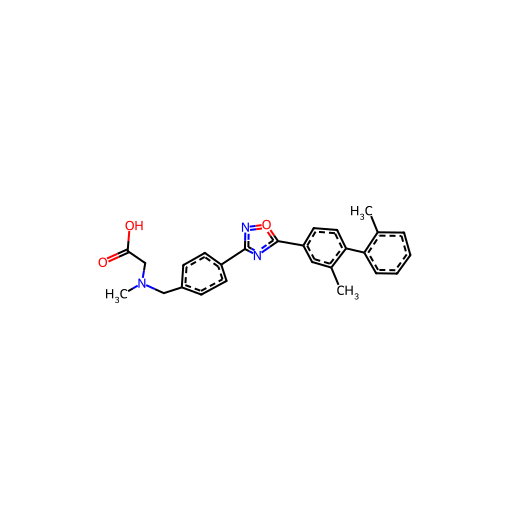 Cc1ccccc1-c1ccc(-c2nc(-c3ccc(CN(C)CC(=O)O)cc3)no2)cc1C